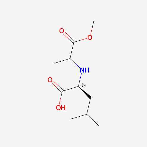 COC(=O)C(C)N[C@@H](CC(C)C)C(=O)O